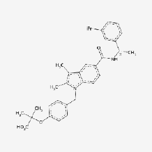 Cc1c(C)n(Cc2ccc(OC(C)(C)C(=O)O)cc2)c2ccc(C(=O)N[C@@H](C)c3cccc(C(C)C)c3)cc12